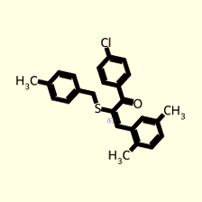 Cc1ccc(CS/C(=C/c2cc(C)ccc2C)C(=O)c2ccc(Cl)cc2)cc1